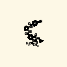 CC(C)n1c(=O)n(CC2CC2)c(=O)c2cc(C(=O)N[C@@H]3CCC[C@@H]3NC(=O)c3ccc(C#N)cc3)ccc21